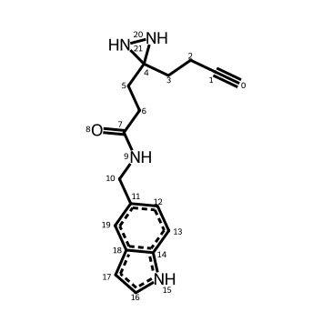 C#CCCC1(CCC(=O)NCc2ccc3[nH]ccc3c2)NN1